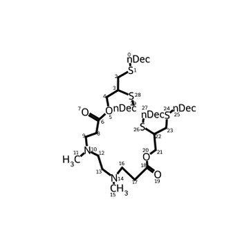 CCCCCCCCCCSCC(COC(=O)CCN(C)CCN(C)CCC(=O)OCC(CSCCCCCCCCCC)SCCCCCCCCCC)SCCCCCCCCCC